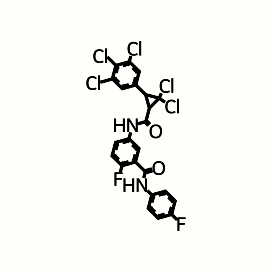 O=C(Nc1ccc(F)cc1)c1cc(NC(=O)C2C(c3cc(Cl)c(Cl)c(Cl)c3)C2(Cl)Cl)ccc1F